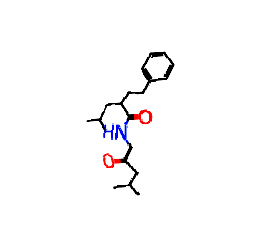 CC(C)CC(=O)CNC(=O)C(CCc1ccccc1)CC(C)C